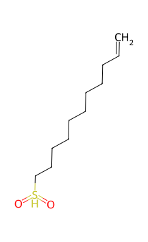 C=CCCCCCCCCC[SH](=O)=O